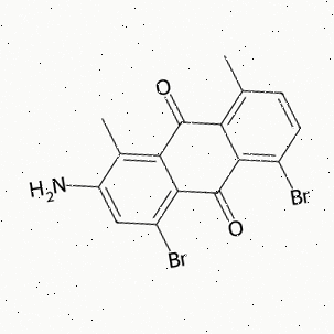 Cc1ccc(Br)c2c1C(=O)c1c(C)c(N)cc(Br)c1C2=O